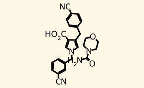 N#Cc1ccc(Cc2cn(Cc3cccc(C#N)c3)cc2C(=O)O)cc1.NC(=O)N1CCOCC1